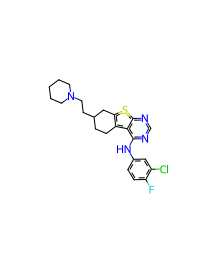 Fc1ccc(Nc2ncnc3sc4c(c23)CCC(CCN2CCCCC2)C4)cc1Cl